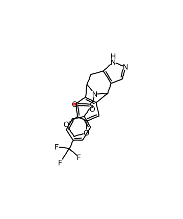 O=S(=O)(c1ccc(C(F)(F)F)cc1)N1C2Cc3[nH]ncc3C1c1cc3c(cc12)OCO3